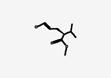 COC(=O)[C@@H](C/C=C/Cl)C(C)C